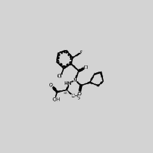 C[C@H](NN(C(=O)c1c(F)cccc1Cl)C(=O)C1CCCC1)C(=O)O